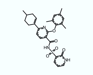 Cc1cc(C)c(Oc2nc(C3=CCC(C)CC3)ccc2C(=O)NS(=O)(=O)c2ccc[nH]c2=O)c(C)c1